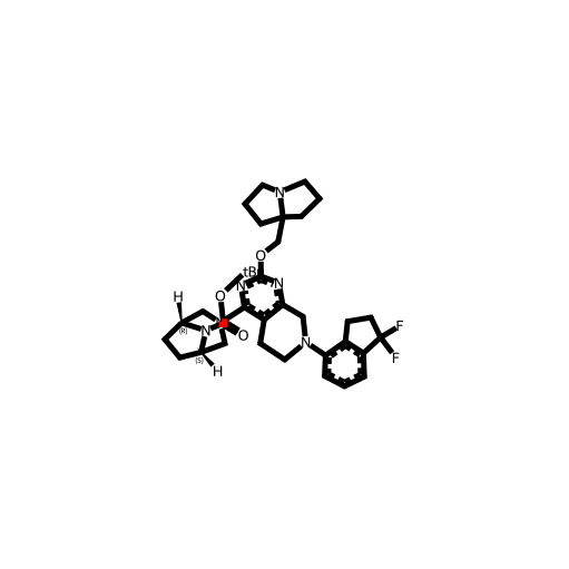 CC(C)(C)OC(=O)N1[C@@H]2CC[C@H]1CN(c1nc(OCC34CCCN3CCC4)nc3c1CCN(c1cccc4c1CCC4(F)F)C3)C2